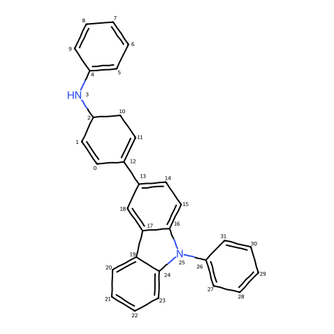 C1=CC(Nc2ccccc2)CC=C1c1ccc2c(c1)c1ccccc1n2-c1ccccc1